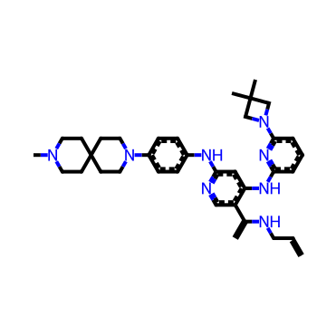 C=CCNC(=C)c1cnc(Nc2ccc(N3CCC4(CCN(C)CC4)CC3)cc2)cc1Nc1cccc(N2CC(C)(C)C2)n1